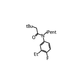 CCCC(C)N(C(=O)CC(C)(C)C)c1ccc(F)c(CC)c1